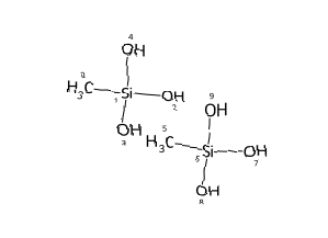 C[Si](O)(O)O.C[Si](O)(O)O